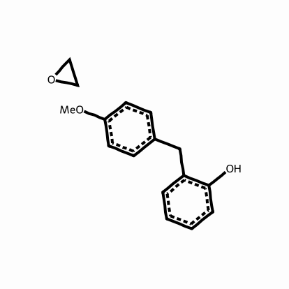 C1CO1.COc1ccc(Cc2ccccc2O)cc1